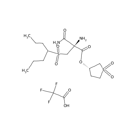 CCCC(CCC)S(=O)(=O)C[C@](N)(C(N)=O)C(=O)O[C@H]1CCS(=O)(=O)C1.O=C(O)C(F)(F)F